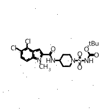 Cn1c(C(=O)NC2CCN(S(=O)(=O)NC(=O)OC(C)(C)C)CC2)cc2c(Cl)c(Cl)ccc21